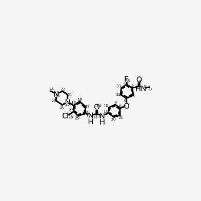 CNC(=O)c1cc(Oc2ccc(NC(=O)Nc3ccc(N4CCN(C)CC4)c(Cl)c3)cc2)ccc1F